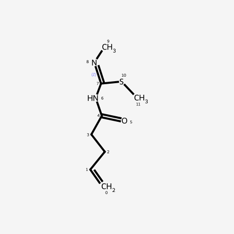 C=CCCC(=O)N/C(=N/C)SC